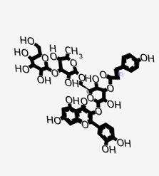 CC1OC(OC[C@@H]2OC(Oc3c(-c4ccc(O)c(O)c4)oc4cc(O)cc(O)c4c3=O)C(O)C(OC(=O)/C=C/c3ccc(O)cc3)C2O)C(O)C(OC2OC(CO)C(O)C(O)C2O)C1O